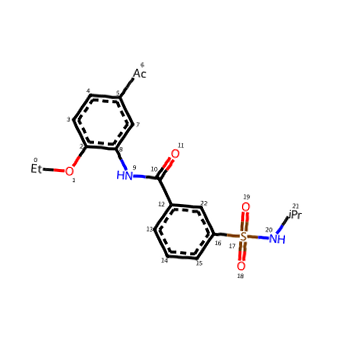 CCOc1ccc(C(C)=O)cc1NC(=O)c1cccc(S(=O)(=O)NC(C)C)c1